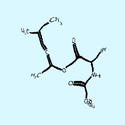 CC(C)=C=C(C)OC(=O)C(NC(=O)OCC(C)C)C(C)C